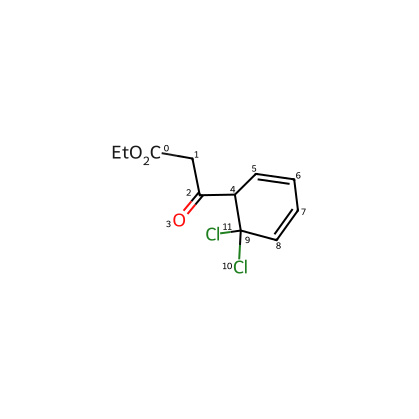 CCOC(=O)CC(=O)C1C=CC=CC1(Cl)Cl